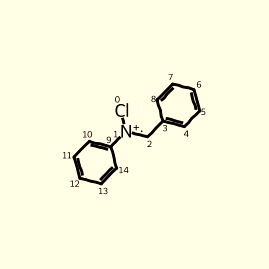 Cl[N+](Cc1ccccc1)c1ccccc1